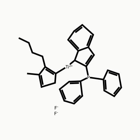 CCCCC1=[C]([Ti+2][CH]2C(P(c3ccccc3)c3ccccc3)=Cc3ccccc32)CC=C1C.[F-].[F-]